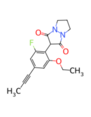 CC#Cc1cc(F)c(C2C(=O)N3CCCN3C2=O)c(OCC)c1